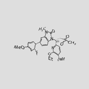 CCOc1nc([C@@H](CS(C)(=O)=O)n2c(=O)n(C)c3cc(-c4ccc(OC)cc4F)ccc32)ccc1OC